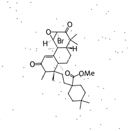 COC(=O)C1(CC[C@]2(C)C(C)C(=O)C=C3[C@@]4(C)[C@H]5O[C@@]5(Br)C(=O)C(C)(C)[C@@H]4CC[C@]32C)CCC(C)(C)CC1